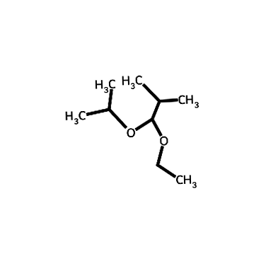 CCOC(OC(C)C)C(C)C